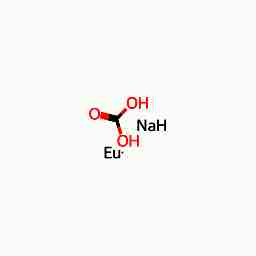 O=C(O)O.[Eu].[NaH]